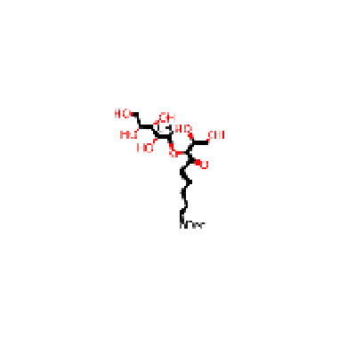 CCCCCCCCCCCCCC=CC(=O)C(O[C@H](C=O)[C@@H](O)[C@H](O)[C@H](O)CO)C(O)CO